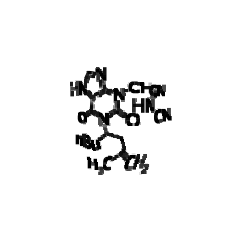 C=C(C)CC(CCCC)n1c(=O)c2[nH]cnc2n(C)c1=O.N#CNC#N